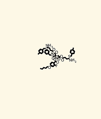 CCCCCOc1ccc(C(=O)ON[C@@](CC(=O)OC(=O)CCC(N)SCc2ccc(C)cc2)(C(=O)OCc2ccccc2)C(=O)OC(=O)CCC(N)SCc2ccc(C)cc2)c(F)c1